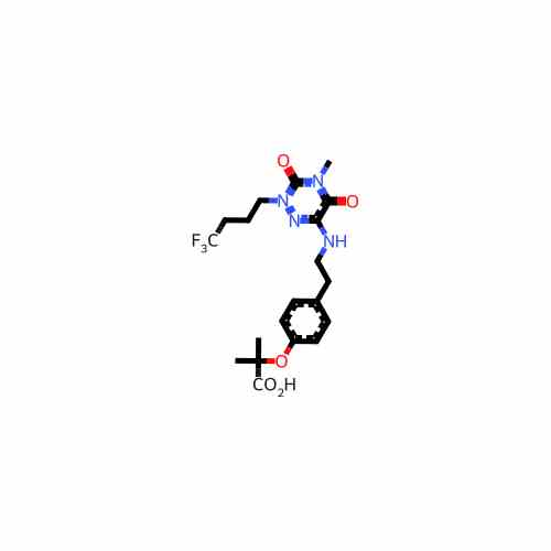 Cn1c(=O)c(NCCc2ccc(OC(C)(C)C(=O)O)cc2)nn(CCCC(F)(F)F)c1=O